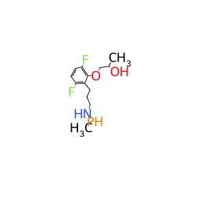 CPNCCCc1c(F)ccc(F)c1OCC(C)O